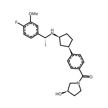 COc1cc([C@@H](C)N[C@H]2CC[C@@H](c3ccc(C(=O)N4CC[C@@H](O)C4)cc3)C2)ccc1F